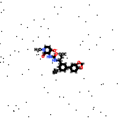 Cn1ccc([O-])c(NC(=O)N[C@@H](CC(=O)[O-])c2cccc(-c3ccc4c(c3)OCO4)c2)c1=O.[Na+].[Na+]